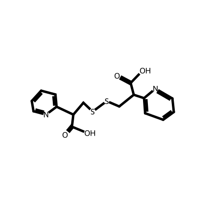 O=C(O)C(CSSCC(C(=O)O)c1ccccn1)c1ccccn1